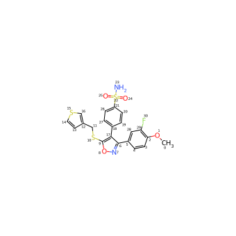 COc1ccc(-c2noc(SCc3ccsc3)c2-c2ccc(S(N)(=O)=O)cc2)cc1F